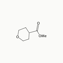 [CH2]OC(=O)C1CCOCC1